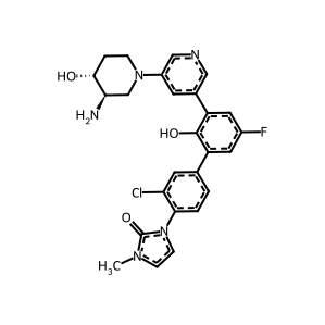 Cn1ccn(-c2ccc(-c3cc(F)cc(-c4cncc(N5CC[C@@H](O)[C@H](N)C5)c4)c3O)cc2Cl)c1=O